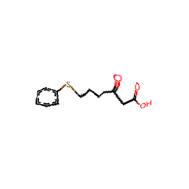 O=C(O)CC(=O)CCCSc1ccccc1